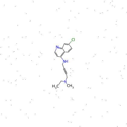 CCN(C)CC#CCNc1ccnc2cc(Cl)ccc12